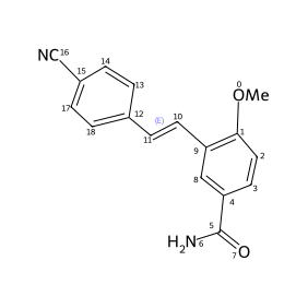 COc1ccc(C(N)=O)cc1/C=C/c1ccc(C#N)cc1